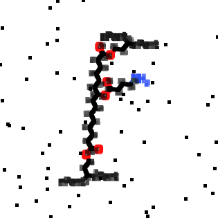 CCCCCC(CCCCC)CCOC(=O)CCCCCCCC(CCCCCC(=O)OCCC(CCCCC)CCCCC)OC(=O)CCCN